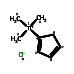 [CH3][Ti+]([CH3])([CH3])[C]1=CC=CC1.[Cl-]